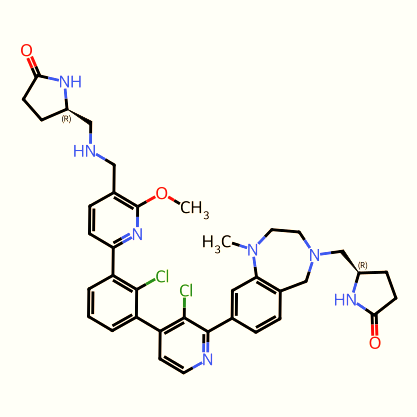 COc1nc(-c2cccc(-c3ccnc(-c4ccc5c(c4)N(C)CCN(C[C@H]4CCC(=O)N4)C5)c3Cl)c2Cl)ccc1CNC[C@H]1CCC(=O)N1